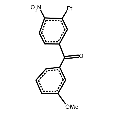 CCc1cc(C(=O)c2cccc(OC)c2)ccc1[N+](=O)[O-]